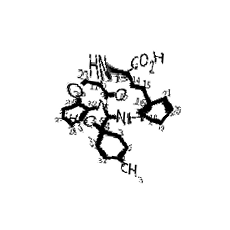 CC1=CCC(C)(C(N)N2C(=O)[C@@H](N[C@@H](CCc3ccccc3)C(=O)O)COc3ccccc32)C=C1